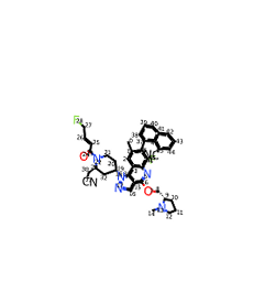 Cc1cc2c(nc(OC[C@@H]3CCCN3C)c3cnn([C@H]4CCN(C(=O)/C=C/CF)[C@H](CC#N)C4)c32)c(F)c1-c1cccc2cccc(C#N)c12